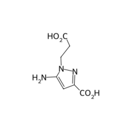 Nc1cc(C(=O)O)nn1CCC(=O)O